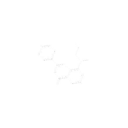 CN(CCO)c1cccc2c(=O)cc(-c3ccncc3)oc12